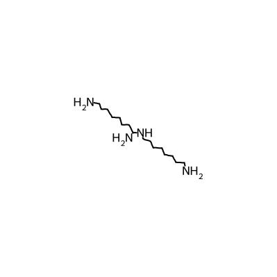 NCCCCCCCCNC(N)CCCCCCCN